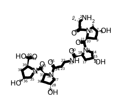 C[C@H](N)C(=O)N1C[C@H](O)C[C@H]1C(=O)N1C[C@H](O)C[C@H]1C(=O)NCCC(=O)N1C[C@H](O)C[C@H]1C(=O)N1C[C@H](O)C[C@H]1C(=O)O